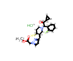 COC(=O)Cn1ccc(/C=C2/CN(C(C(=O)C3CC3)c3ccccc3F)CCC2S)n1.Cl